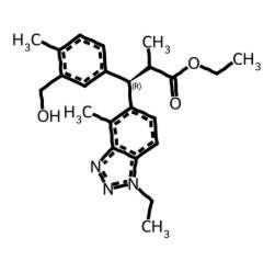 CCOC(=O)C(C)[C@H](c1ccc(C)c(CO)c1)c1ccc2c(nnn2CC)c1C